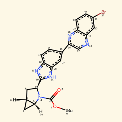 CC(C)(C)OC(=O)N1[C@@H]2C[C@@H]2C[C@H]1c1nc2ccc(-c3cnc4cc(Br)ccc4n3)cc2[nH]1